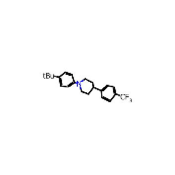 CC(C)(C)c1ccc(N2CCC(c3ccc(C(F)(F)F)cc3)CC2)cc1